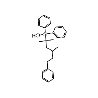 CC(CCc1ccccc1)CC(C)(C)[Si](O)(c1ccccc1)c1ccccc1